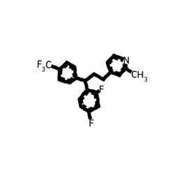 Cc1cc(CCC(c2ccc(C(F)(F)F)cc2)c2ccc(F)cc2F)ccn1